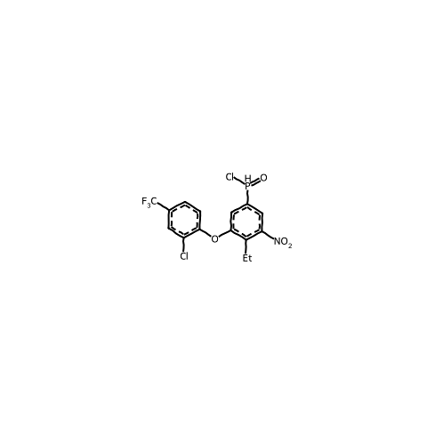 CCc1c(Oc2ccc(C(F)(F)F)cc2Cl)cc([PH](=O)Cl)cc1[N+](=O)[O-]